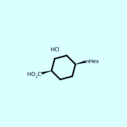 CCCCCC[C@H]1CC[C@@H](C(=O)O)CC1.Cl